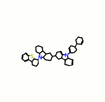 C1=CC(C2CC=C(N3C4=CCC(C5CCC6C(C5)C5CCCCC5N6C5CCCC6c7ccccc7SC65)CC4C4CCC=CC43)CC2)CCC1